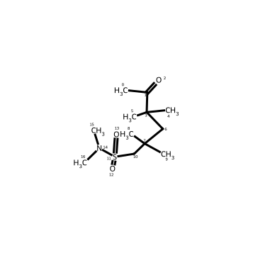 CC(=O)C(C)(C)CC(C)(C)CS(=O)(=O)N(C)C